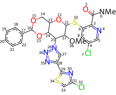 CNC(=O)c1ncc(Cl)cc1SC1OC2COC(c3ccccc3)OC2C(n2cc(-c3nc(Cl)cs3)nn2)C1OC